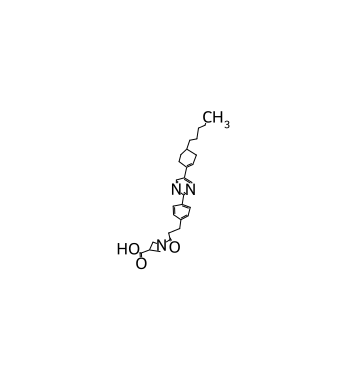 CCCCCC1CC=C(c2cnc(-c3ccc(CCC(=O)N4CC(C(=O)O)C4)cc3)nc2)CC1